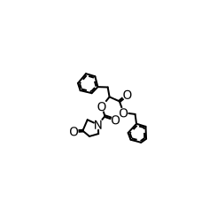 O=C1CCN(C(=O)OC(Cc2ccccc2)C(=O)OCc2ccccc2)C1